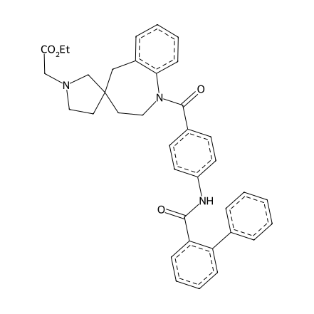 CCOC(=O)CN1CCC2(CCN(C(=O)c3ccc(NC(=O)c4ccccc4-c4ccccc4)cc3)c3ccccc3C2)C1